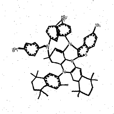 Cc1cc2c(cc1N1C3=C(C=C4C(C3)C(C)(C)CCC4(C)C)B3c4sc5ccc(C(C)(C)C)cc5c4N(c4ccc(C(C)(C)C)cc4)C4=CC(C)(N(c5ccc(C(C)C)cc5)c5ccc(C(C)C)cc5)CC1C34)C(C)(C)CCC2(C)C